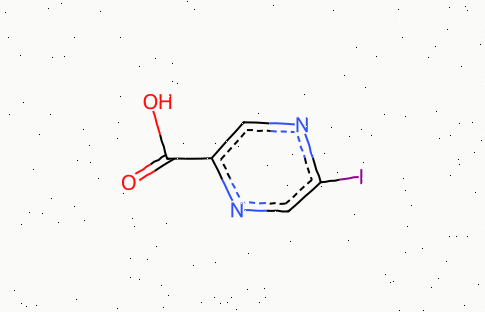 O=C(O)c1cnc(I)cn1